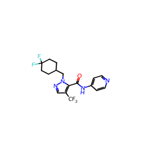 O=C(Nc1ccncc1)c1c(C(F)(F)F)cnn1CC1CCC(F)(F)CC1